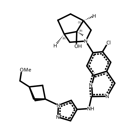 COCC12CC(n3cc(Nc4ncc5cc(Cl)c(N6C[C@H]7CC[C@@H](C6)[C@@]7(C)O)cc5n4)cn3)(C1)C2